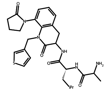 CC(C)C[C@@H](NC(=O)C(C)N)C(=O)NC1Cc2cccc(N3CCCC3=O)c2N(Cc2ccsc2)C1=O